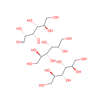 O=C[C@H](O)[C@@H](O)[C@H](O)[C@H](O)CO.OC[C@@H](O)[C@@H](O)[C@H](O)[C@@H](O)CO.OC[C@@H](O)[C@@H](O)[C@H](O)[C@H](O)CO